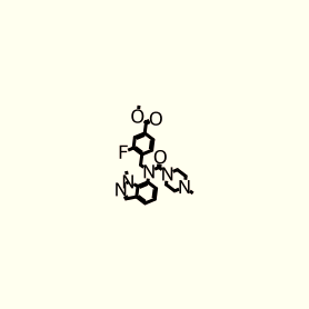 COC(=O)c1ccc(CN(C(=O)N2CCN(C)CC2)c2cccc3cnn(C)c23)c(F)c1